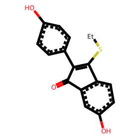 CCSC1=C(c2ccc(O)cc2)C(=O)c2cc(O)ccc21